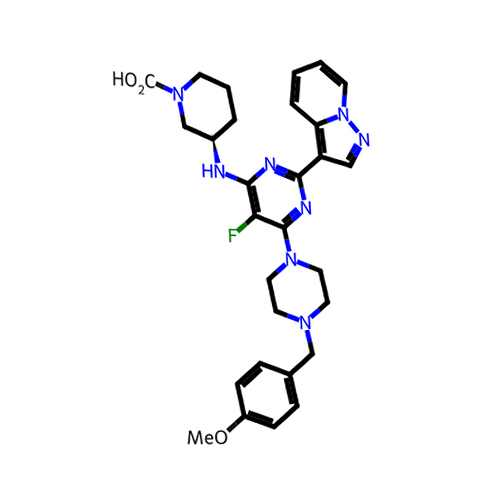 COc1ccc(CN2CCN(c3nc(-c4cnn5ccccc45)nc(N[C@@H]4CCCN(C(=O)O)C4)c3F)CC2)cc1